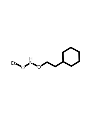 CCONOCCC1CCCCC1